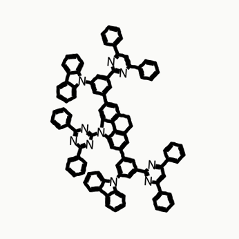 c1ccc(-c2cc(-c3ccccc3)nc(-c3cc(-c4cc5c6c7c(cc(-c8cc(-c9nc(-c%10ccccc%10)cc(-c%10ccccc%10)n9)cc(-n9c%10ccccc%10c%10ccccc%109)c8)cc7n(-c7nc(-c8ccccc8)nc(-c8ccccc8)n7)c6c4)CC5)cc(-n4c5ccccc5c5ccccc54)c3)n2)cc1